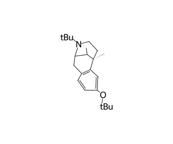 CC1C2Cc3ccc(OC(C)(C)C)cc3[C@]1(C)CCN2C(C)(C)C